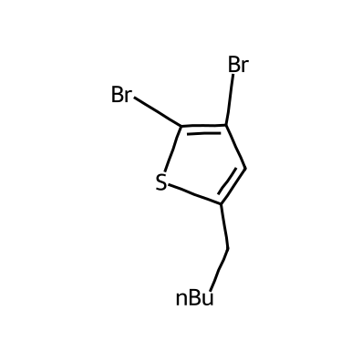 [CH2]CCCCc1cc(Br)c(Br)s1